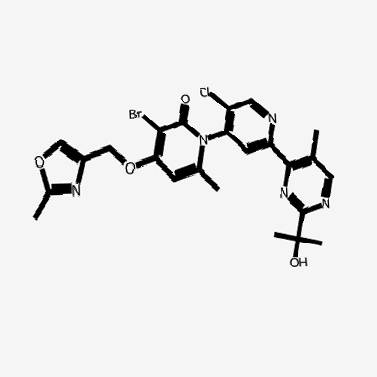 Cc1nc(COc2cc(C)n(-c3cc(-c4nc(C(C)(C)O)ncc4C)ncc3Cl)c(=O)c2Br)co1